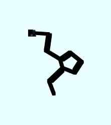 C/C=C1\C=CC=C1/C=C/CC